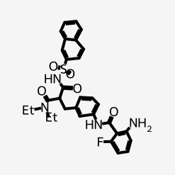 CCN(CC)C(=O)C(Cc1cccc(NC(=O)c2c(N)cccc2F)c1)C(=O)NS(=O)(=O)c1ccc2ccccc2c1